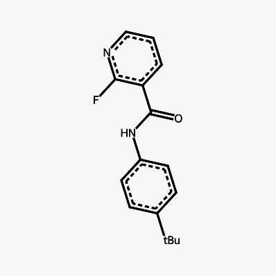 CC(C)(C)c1ccc(NC(=O)c2cccnc2F)cc1